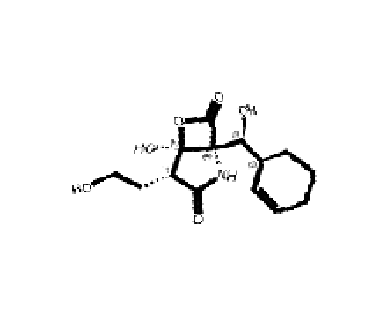 O=C1N[C@@]2([C@@H](O)[C@@H]3C=CCCC3)C(=O)O[C@]2(O)[C@H]1CCO